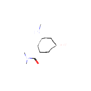 CN[C@@H]1C[C@H](O)C[C@H](C(=O)N(C)C)C1